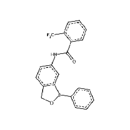 O=C(Nc1ccc2c(c1)B(c1ccccc1)OC2)c1ccccc1C(F)(F)F